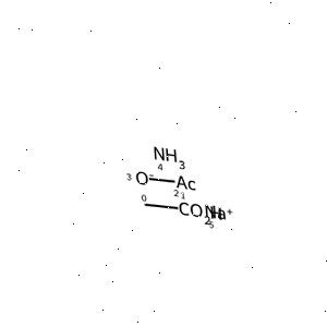 CC(=O)O.CC(=O)[O-].N.[Na+]